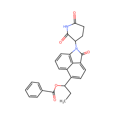 CCC(OC(=O)c1ccccc1)c1ccc2c3c(cccc13)N(C1CCC(=O)NC1=O)C2=O